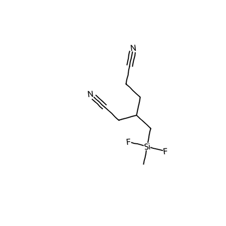 C[Si](F)(F)CC(CC#N)CCC#N